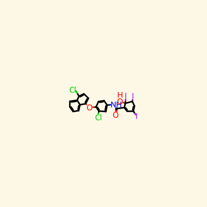 O=C(Nc1ccc(Oc2ccc(Cl)c3ccccc23)c(Cl)c1)C1=CC(I)=CC(I)C1(O)I